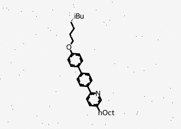 CCCCCCCCc1ccc(-c2ccc(-c3ccc(OCCCC[C@@H](C)CC)cc3)cc2)nc1